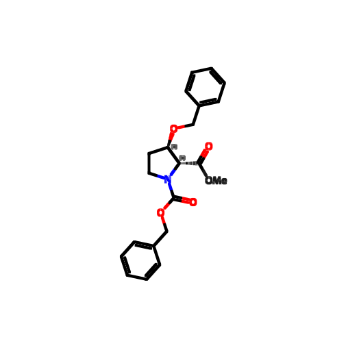 COC(=O)[C@H]1[C@H](OCc2ccccc2)CCN1C(=O)OCc1ccccc1